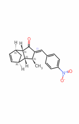 C[C@@H]1/C(=C\c2ccc([N+](=O)[O-])cc2)C(=O)[C@@H]2[C@H]1[C@H]1C=C[C@@H]2C1